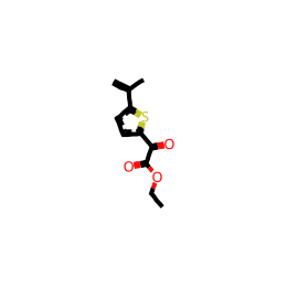 C=C(C)c1ccc(C(=O)C(=O)OCC)s1